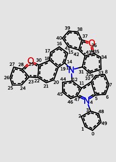 c1ccc(-n2c3ccccc3c3c(N(c4cccc5c4ccc4c6ccccc6oc54)c4cccc5oc6ccccc6c45)cccc32)cc1